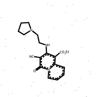 CCOC(=O)c1c(NCCN2CCCC2)c(C#N)c(=O)n2ccccc12